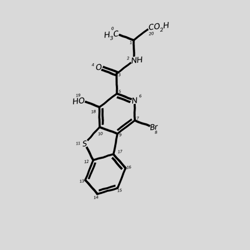 CC(NC(=O)c1nc(Br)c2c(sc3ccccc32)c1O)C(=O)O